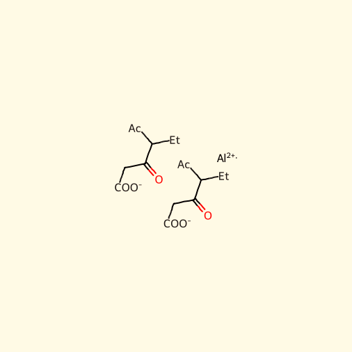 CCC(C(C)=O)C(=O)CC(=O)[O-].CCC(C(C)=O)C(=O)CC(=O)[O-].[Al+2]